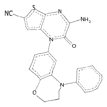 N#Cc1cc2c(nc(N)c(=O)n2-c2ccc3c(c2)N(c2ccccc2)CCO3)s1